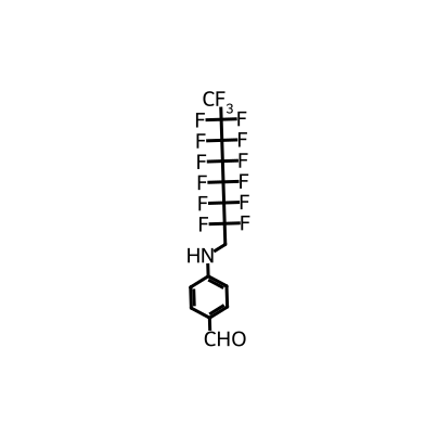 O=Cc1ccc(NCC(F)(F)C(F)(F)C(F)(F)C(F)(F)C(F)(F)C(F)(F)C(F)(F)F)cc1